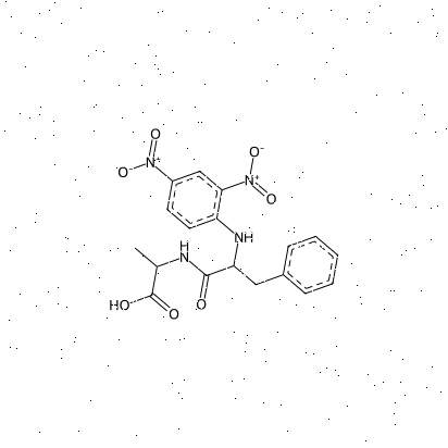 CC(NC(=O)C(Cc1ccccc1)Nc1ccc([N+](=O)[O-])cc1[N+](=O)[O-])C(=O)O